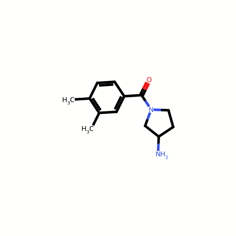 Cc1ccc(C(=O)N2CCC(N)C2)cc1C